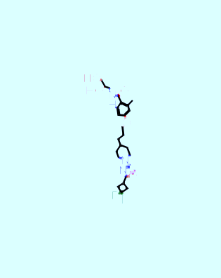 Cc1cc(OCCCC2CCN(c3noc(C4CC(F)(F)C4)n3)CC2)ccc1C(=O)NC[C@H](O)CO